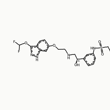 CCS(=O)(=O)Nc1cccc([C@@H](O)CNCCOc2ccc3c(OC(F)F)n[nH]c3c2)c1